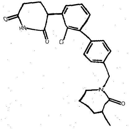 CC1CCCN(Cc2ccc(-c3cccc(C4CCC(=O)NC4=O)c3Cl)cc2)C1=O